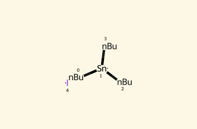 CCC[CH2][Sn]([CH2]CCC)[CH2]CCC.[I]